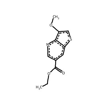 CCOC(=O)c1cnc2c(OC)csc2c1